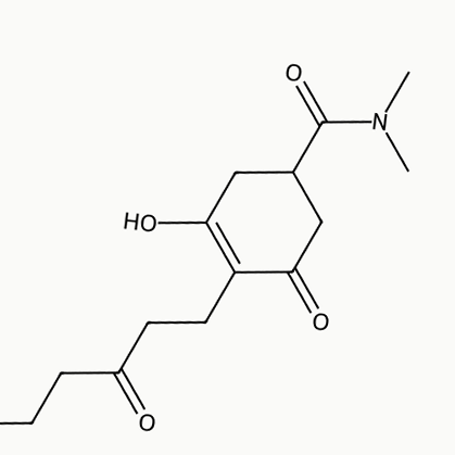 CCCC(=O)CCC1=C(O)CC(C(=O)N(C)C)CC1=O